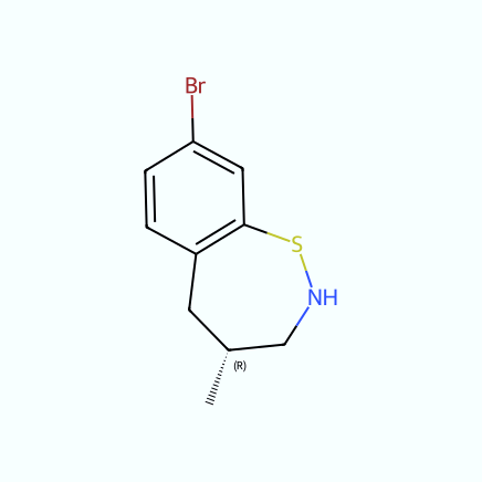 C[C@H]1CNSc2cc(Br)ccc2C1